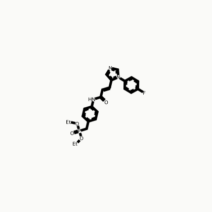 CCOP(=O)(Cc1ccc(NC(=O)/C=C/c2cncn2-c2ccc(F)cc2)cc1)OCC